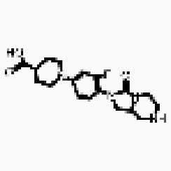 O=C(O)C1CCN(c2ccc(N3CC4CNCCN4C3=O)c(F)c2)CC1